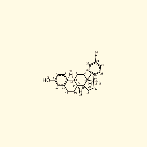 C[C@]12CC[C@@H]3c4ccc(O)cc4CC[C@H]3[C@@H]1CC[C@]2(C)c1ccc(F)cc1